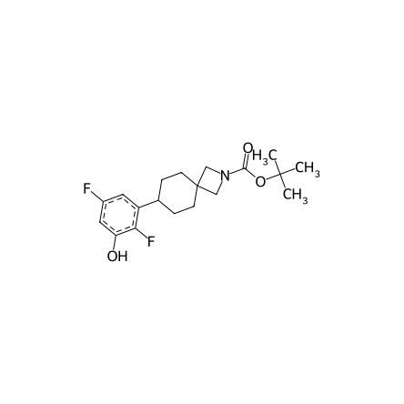 CC(C)(C)OC(=O)N1CC2(CCC(c3cc(F)cc(O)c3F)CC2)C1